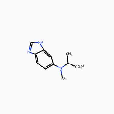 CCCN(c1ccc2nc[nH]c2c1)[C@@H](C)C(=O)O